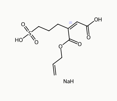 C=CCOC(=O)/C(=C\C(=O)O)CCCS(=O)(=O)O.[NaH]